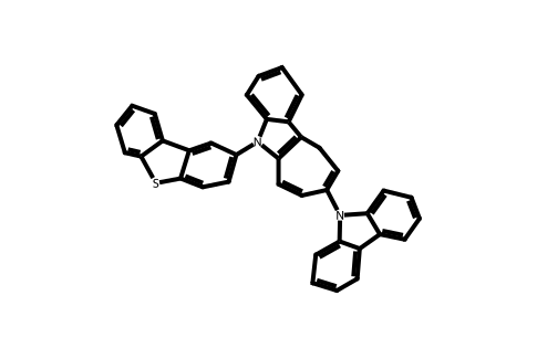 C1=Cc2c(c3ccccc3n2-c2ccc3sc4ccccc4c3c2)CC=C1n1c2ccccc2c2ccccc21